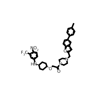 Cc1ccc(-c2ccc3oc(CN4CCN(C(=O)CO[C@H]5CC[C@H](Nc6ccc([N+](=O)[O-])c(C(F)(F)F)c6)CC5)CC4)cc3c2)cc1